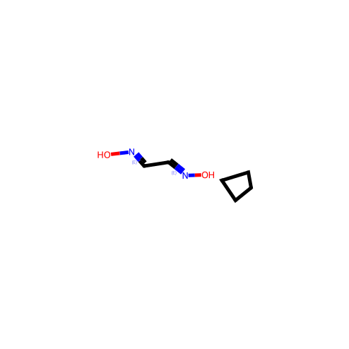 C1CCC1.O/N=C/C=N/O